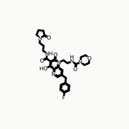 O=C(NCCCN1CCCC1=O)c1c(O)c2ncc(Cc3ccc(F)cc3)cc2n(CCNC(=O)N2CCOCC2)c1=O